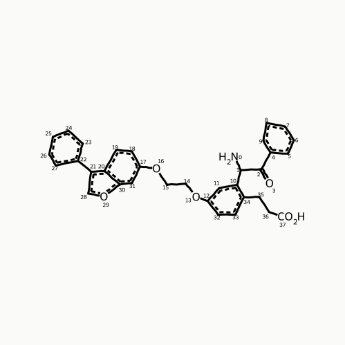 NC(C(=O)c1ccccc1)c1cc(OCCOc2ccc3c(-c4ccccc4)coc3c2)ccc1CCC(=O)O